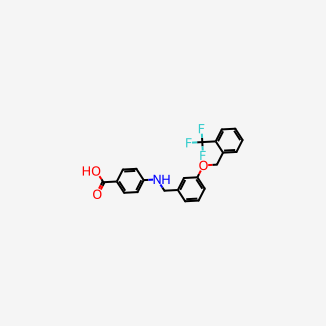 O=C(O)c1ccc(NCc2cccc(OCc3ccccc3C(F)(F)F)c2)cc1